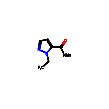 CNC(=O)c1ccnn1CC(F)(F)F